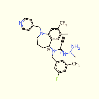 C#C/C(=N\N(C)N)N(Cc1cc(F)cc(C(F)(F)F)c1)[C@H]1CCCN(Cc2ccncc2)c2cc(C(F)(F)F)c(C)cc21